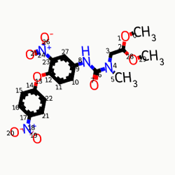 COC(CN(C)C(=O)Nc1ccc(Oc2ccc([N+](=O)[O-])cc2)c([N+](=O)[O-])c1)OC